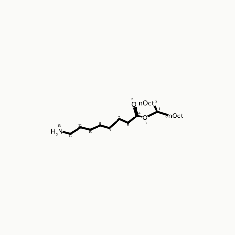 CCCCCCCCC(CCCCCCCC)OC(=O)CCCCCCCN